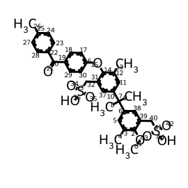 COc1c(C)cc(C(C)(C)c2cc(C)c(Oc3ccc(C(=O)c4ccc(C)cc4)cc3)c(CS(=O)(=O)O)c2)cc1CS(=O)(=O)O